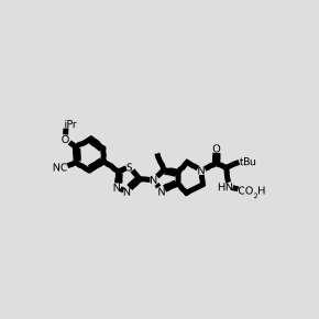 Cc1c2c(nn1-c1nnc(-c3ccc(OC(C)C)c(C#N)c3)s1)CCN(C(=O)C(NC(=O)O)C(C)(C)C)C2